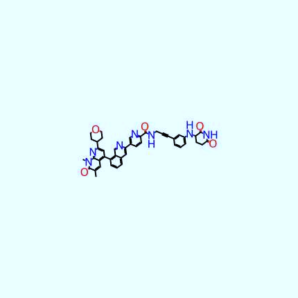 Cc1cc2c(-c3cccc4cc(-c5ccc(C(=O)NCC#Cc6cccc(NC7CCC(=O)NC7=O)c6)nc5)ncc34)cc(C3CCOCC3)nc2n(C)c1=O